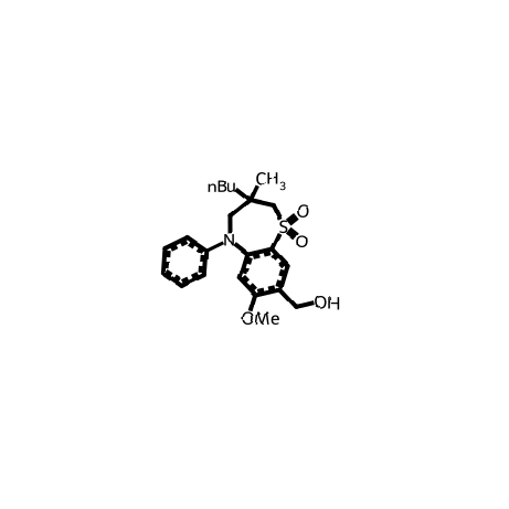 CCCCC1(C)CN(c2ccccc2)c2cc(OC)c(CO)cc2S(=O)(=O)C1